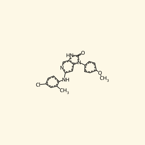 COc1ccc(-n2c(=O)[nH]c3cnc(Nc4ccc(Cl)cc4C)cc32)cc1